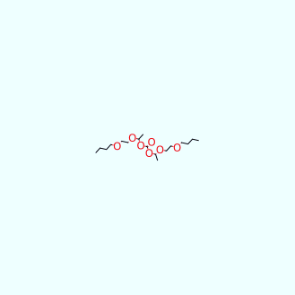 CCCCOCCOC(C)OC(=O)OC(C)OCCOCCCC